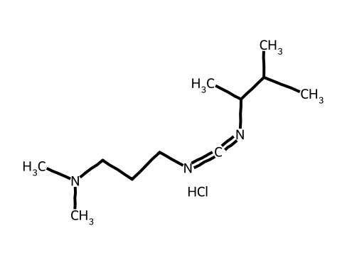 CC(C)C(C)N=C=NCCCN(C)C.Cl